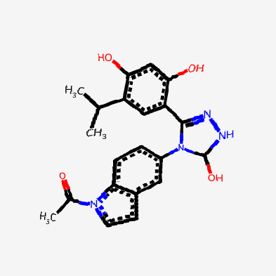 CC(=O)n1ccc2cc(N3C(c4cc(C(C)C)c(O)cc4O)=NNC3O)ccc21